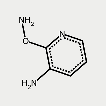 NOc1ncccc1N